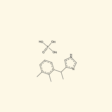 Cc1cccc(C(C)c2c[nH]cn2)c1C.O=P(O)(O)O